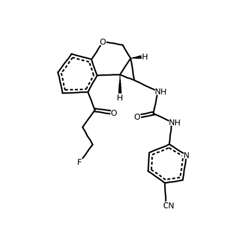 N#Cc1ccc(NC(=O)NC2[C@H]3COc4cccc(C(=O)CCF)c4[C@@H]23)nc1